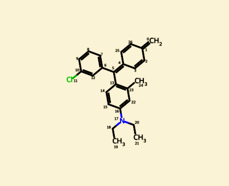 C=c1ccc(=C(c2cccc(Cl)c2)c2ccc(N(CC)CC)cc2C)cc1